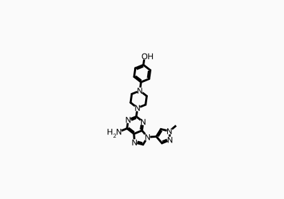 Cn1cc(-n2cnc3c(N)nc(N4CCN(c5ccc(O)cc5)CC4)nc32)cn1